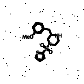 COc1cccc(CC2CN(S(=O)(=O)c3cccs3)CCN2)c1